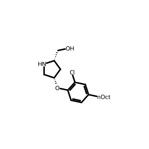 CCCCCCCCc1ccc(O[C@@H]2CN[C@H](CO)C2)c(Cl)c1